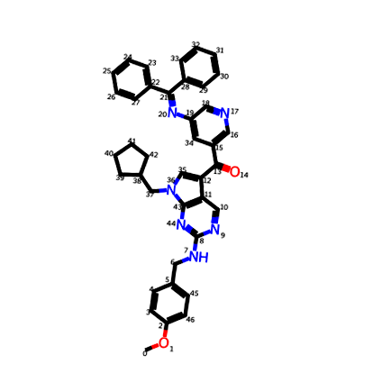 COc1ccc(CNc2ncc3c(C(=O)c4cncc(N=C(c5ccccc5)c5ccccc5)c4)cn(CC4CCCC4)c3n2)cc1